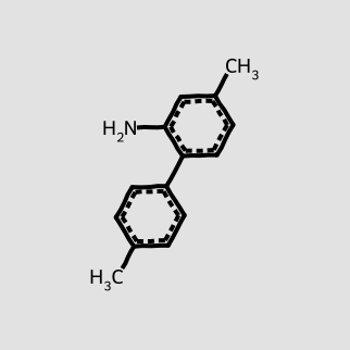 Cc1ccc(-c2ccc(C)cc2N)cc1